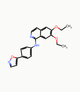 CCOc1cc2ccnc(Nc3ccc(-c4ccno4)cc3)c2cc1OCC